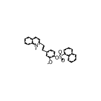 COc1cc(C=Cc2ccc3ccccc3[n+]2C)ccc1OS(=O)(=O)c1cccc2ccccc12